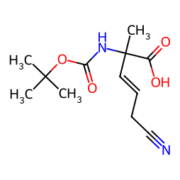 CC(C)(C)OC(=O)NC(C)(C=CCC#N)C(=O)O